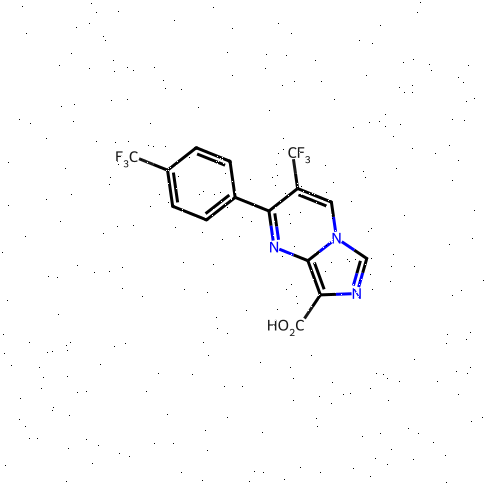 O=C(O)c1ncn2cc(C(F)(F)F)c(-c3ccc(C(F)(F)F)cc3)nc12